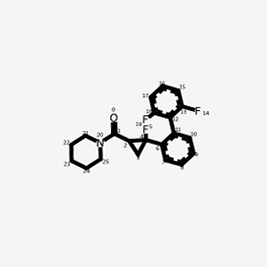 O=C(C1CC1(F)c1ccccc1-c1c(F)cccc1F)N1CCCCC1